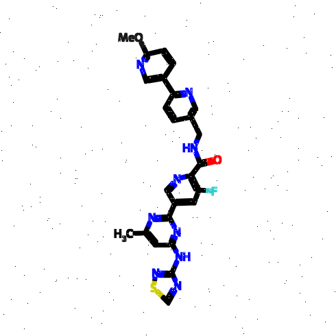 COc1ccc(-c2ccc(CNC(=O)c3ncc(-c4nc(C)cc(Nc5ncsn5)n4)cc3F)cn2)cn1